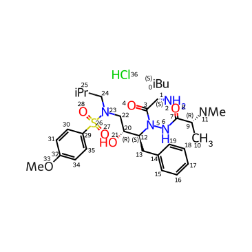 CC[C@H](C)[C@H](N)C(=O)N(NC(=O)[C@@H](C)NC)[C@@H](Cc1ccccc1)[C@H](O)CN(CC(C)C)S(=O)(=O)c1ccc(OC)cc1.Cl